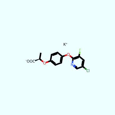 C[C@@H](Oc1ccc(Oc2ncc(Cl)cc2F)cc1)C(=O)[O-].[K+]